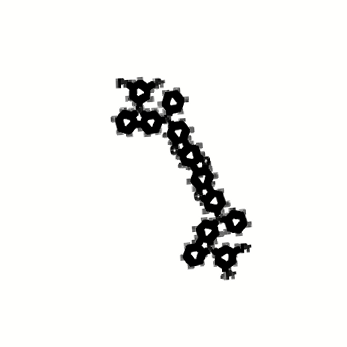 CC(C)c1cc(C(C)C)cc(-n2c3ccccc3c3ccc(N(c4ccccc4)c4ccc5c(c4)oc4cc6c(cc45)oc4cc5c(cc46)oc4cc(N(c6ccccc6)c6ccc7c8ccccc8n(-c8cc(C(C)C)cc(C(C)C)c8)c7c6)ccc45)cc32)c1